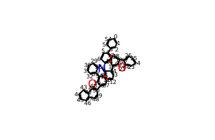 c1ccc(-c2ccc(N(c3ccccc3-c3cccc4c3oc3ccccc34)c3ccccc3-c3cccc4c3oc3c5ccccc5ccc43)cc2)cc1